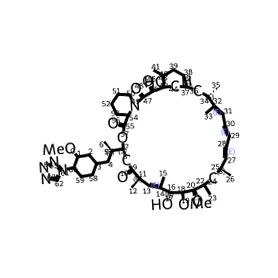 COC1CC(C[C@@H](C)[C@@H]2CC(=O)[C@H](C)/C=C(\C)[C@@H](O)C(OC)C(=O)C(C)C[C@H](C)/C=C/C=C/C=C(\C)[C@@H](C)C[C@@H]3CCC(C)C(O)(C3)C(=O)C(=O)N3CCCCC3C(=O)O2)CCC1n1cnnn1